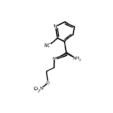 N#Cc1ncccc1C(N)=NCCO[N+](=O)[O-]